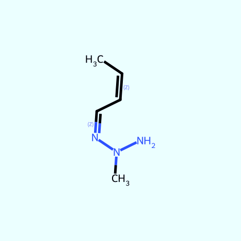 C/C=C\C=N/N(C)N